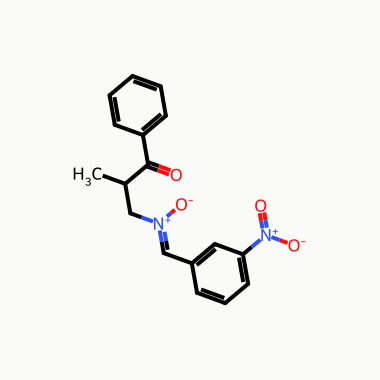 CC(C[N+]([O-])=Cc1cccc([N+](=O)[O-])c1)C(=O)c1ccccc1